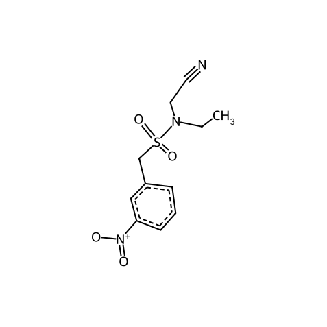 CCN(CC#N)S(=O)(=O)Cc1cccc([N+](=O)[O-])c1